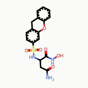 NC(=O)CC(NS(=O)(=O)c1ccc2c(c1)Oc1ccccc1C2)C(=O)NO